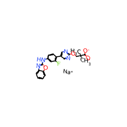 CC(C)(COc1ncc(-c2ccc(Nc3nc4ccccc4o3)cc2F)cn1)C(=O)[O-].[Na+]